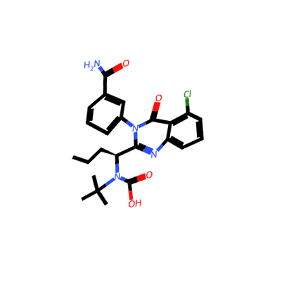 CCC[C@@H](c1nc2cccc(Cl)c2c(=O)n1-c1cccc(C(N)=O)c1)N(C(=O)O)C(C)(C)C